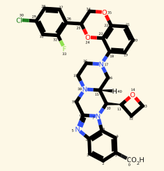 O=C(O)c1ccc2nc3n(c2c1)C([C@@H]1CCO1)[C@H]1CN(c2cccc4c2OC(c2ccc(Cl)cc2F)CO4)CCN1C3